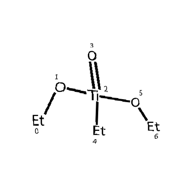 CC[O][Ti](=[O])([CH2]C)[O]CC